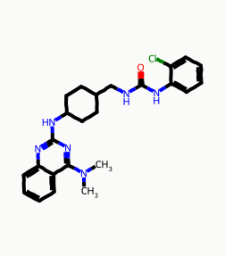 CN(C)c1nc(NC2CCC(CNC(=O)Nc3ccccc3Cl)CC2)nc2ccccc12